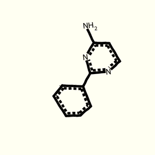 Nc1ccnc(-c2[c]cccc2)n1